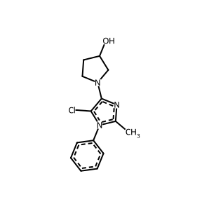 Cc1nc(N2CCC(O)C2)c(Cl)n1-c1ccccc1